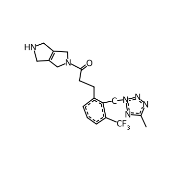 Cc1nnn(Cc2c(CCC(=O)N3CC4=C(CNC4)C3)cccc2C(F)(F)F)n1